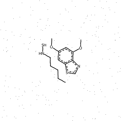 CCCCCNS.COc1cc(OC)c2ncsc2c1